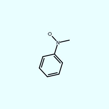 CN([O])c1ccccc1